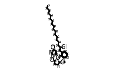 CCCCCCCCCCCCCCCCC(Cl)Cc1ccccc1N(C1=CC(=O)N=N1)N1C(=O)CCC1=O